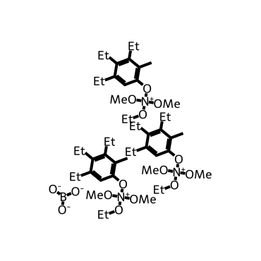 CCO[N+](OC)(OC)Oc1cc(CC)c(CC)c(CC)c1C.CCO[N+](OC)(OC)Oc1cc(CC)c(CC)c(CC)c1C.CCO[N+](OC)(OC)Oc1cc(CC)c(CC)c(CC)c1C.[O-]B([O-])[O-]